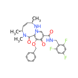 C[C@@H]1/C=C\[C@H](C)N(C)C(=O)c2c(OCc3ccccc3)c(=O)c(C(=O)NCc3c(F)cc(F)cc3F)cn2N1